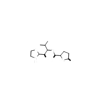 CC(C)C(NC(=O)C1CCC(=O)N1)C(=O)C1NCCS1